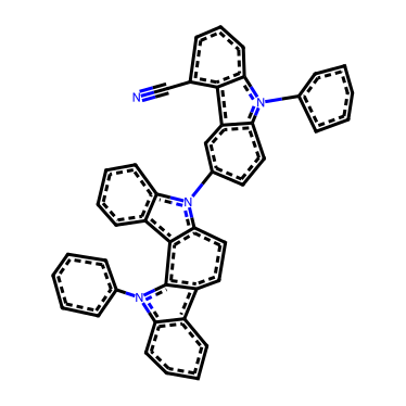 N#Cc1cccc2c1c1cc(-n3c4ccccc4c4c3ccc3c5ccccc5n(-c5ccccc5)c34)ccc1n2-c1ccccc1